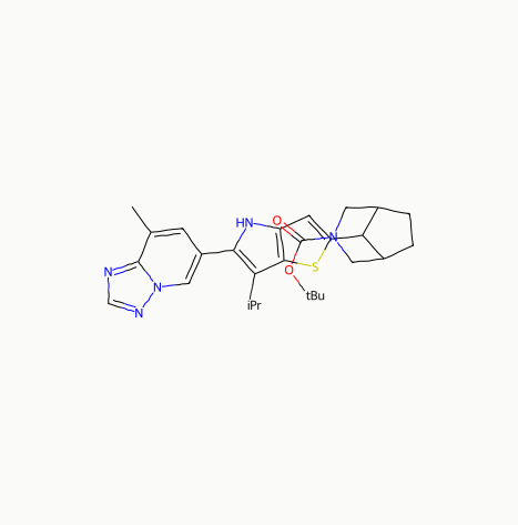 Cc1cc(-c2[nH]c3cc(C4C5CCC4CN(C(=O)OC(C)(C)C)C5)sc3c2C(C)C)cn2ncnc12